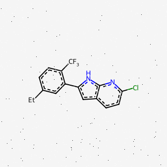 CCc1ccc(C(F)(F)F)c(-c2cc3ccc(Cl)nc3[nH]2)c1